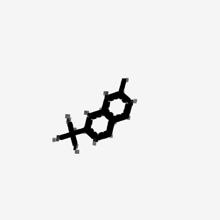 Cc1ncc2cnc(C(F)(F)F)nc2n1